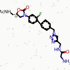 CC(=O)NC[C@H]1CN(c2ccc(-c3ccc(Cn4cc(CNC(=O)CN)nn4)cc3)c(F)c2)C(=O)O1